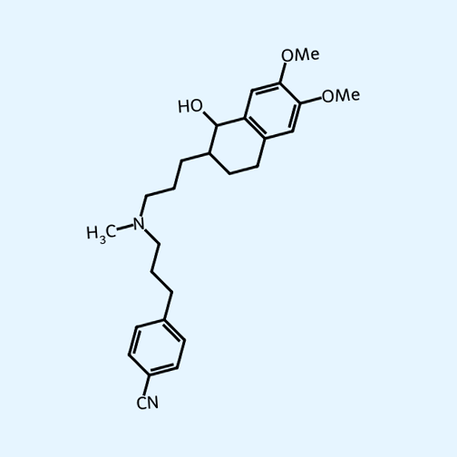 COc1cc2c(cc1OC)C(O)C(CCCN(C)CCCc1ccc(C#N)cc1)CC2